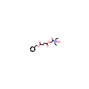 CC[N+](O)(CC)C(=O)COC(=O)CCC(=O)OCc1ccccc1